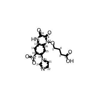 O=C(O)CCCOn1c(=O)c(=O)[nH]c2cc([N+](=O)[O-])c(-n3ccnc3)cc21